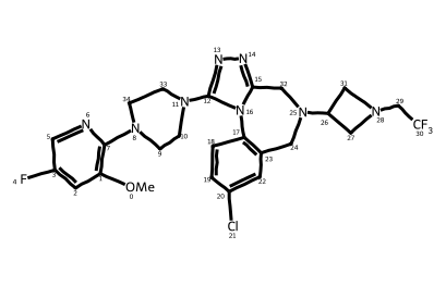 COc1cc(F)cnc1N1CCN(c2nnc3n2-c2ccc(Cl)cc2CN(C2CN(CC(F)(F)F)C2)C3)CC1